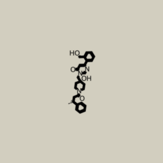 C[C@H](CC(=O)N1CCC(O)(Cn2cnc(-c3ccccc3CO)cc2=O)CC1)c1ccccc1